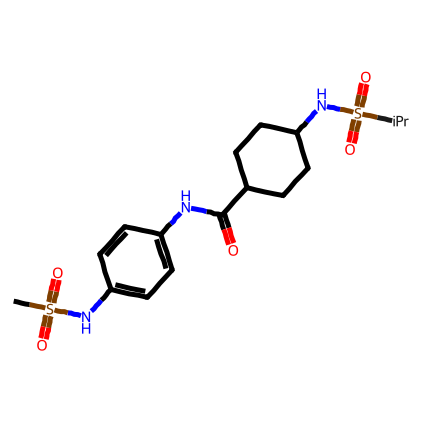 CC(C)S(=O)(=O)NC1CCC(C(=O)Nc2ccc(NS(C)(=O)=O)cc2)CC1